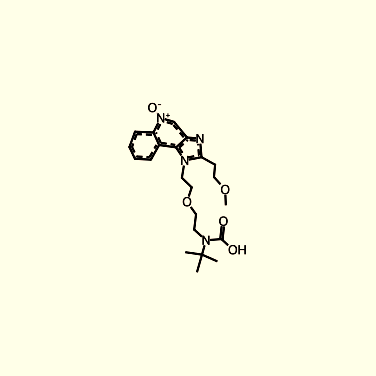 COCCc1nc2c[n+]([O-])c3ccccc3c2n1CCOCCN(C(=O)O)C(C)(C)C